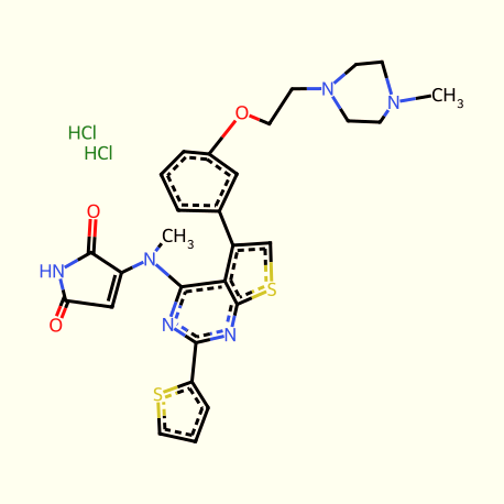 CN1CCN(CCOc2cccc(-c3csc4nc(-c5cccs5)nc(N(C)C5=CC(=O)NC5=O)c34)c2)CC1.Cl.Cl